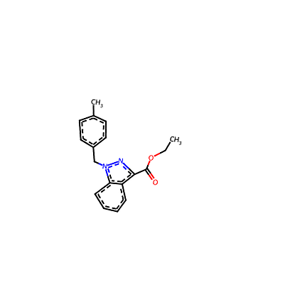 CCOC(=O)c1nn(Cc2ccc(C)cc2)c2ccccc12